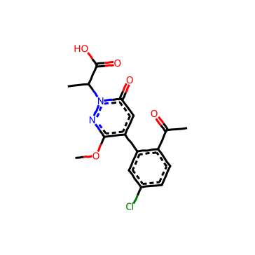 COc1nn(C(C)C(=O)O)c(=O)cc1-c1cc(Cl)ccc1C(C)=O